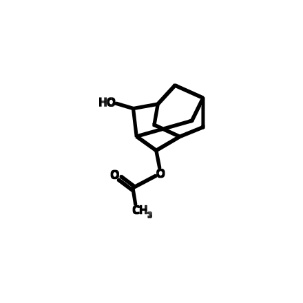 CC(=O)OC1C2CC3CC(C2)C(O)C1C3